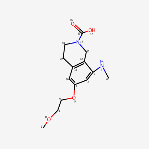 CNc1cc(OCCOC)cc2c1CN(C(=O)O)CC2